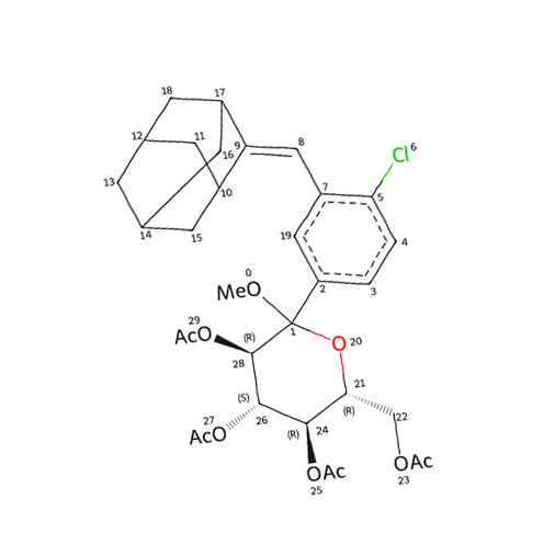 COC1(c2ccc(Cl)c(C=C3C4CC5CC(C4)CC3C5)c2)O[C@H](COC(C)=O)[C@@H](OC(C)=O)[C@H](OC(C)=O)[C@H]1OC(C)=O